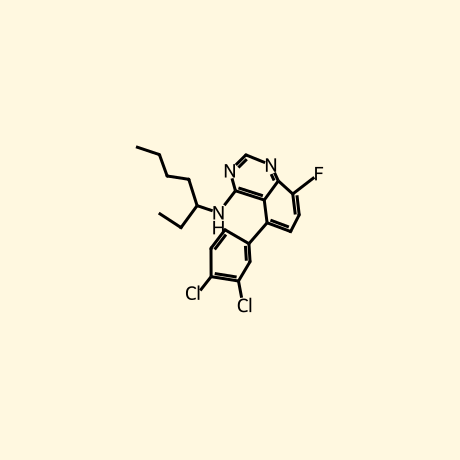 CCCCC(CC)Nc1ncnc2c(F)ccc(-c3ccc(Cl)c(Cl)c3)c12